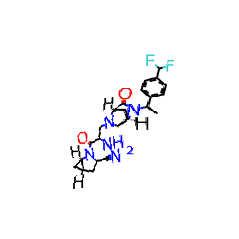 CC(c1ccc(C(F)F)cc1)N1C(=O)[C@@H]2C[C@@H]1CN2CC(N)C(=O)N1C(C#N)C[C@@H]2C[C@@H]21